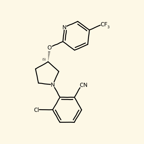 N#Cc1cccc(Cl)c1N1CC[C@H](Oc2ccc(C(F)(F)F)cn2)C1